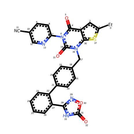 CCc1cc2c(=O)n(-c3ccc(C#N)cn3)c(=O)n(Cc3ccc(-c4ccccc4-c4noc(=O)[nH]4)cc3)c2s1